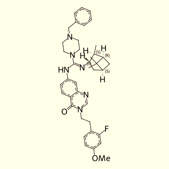 COc1ccc(CCn2cnc3cc(NC(=N[C@H]4C[C@@H]5C[C@H]([C@@H]4C)C5(C)C)N4CCN(Cc5ccccc5)CC4)ccc3c2=O)c(F)c1